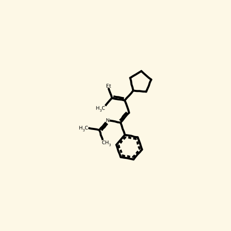 CC/C(C)=C(/C=C(\N=C(C)C)c1ccccc1)C1CCCC1